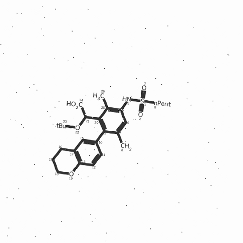 CCCCCS(=O)(=O)Nc1cc(C)c(-c2ccc3c(c2)CCCO3)c(C(OC(C)(C)C)C(=O)O)c1C